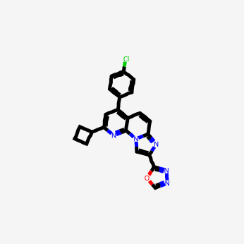 Clc1ccc(-c2cc(C3CCC3)nc3c2ccc2nc(-c4nnco4)cn23)cc1